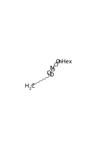 C=CCCCCCCCCCC1COC(c2ccc(-c3ccc(OCCCCCC)cc3)nc2)OC1